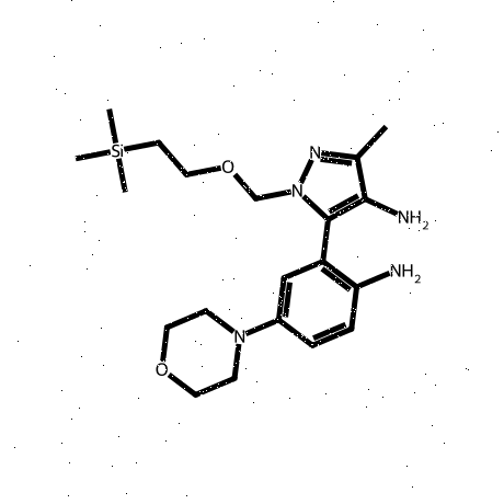 Cc1nn(COCC[Si](C)(C)C)c(-c2cc(N3CCOCC3)ccc2N)c1N